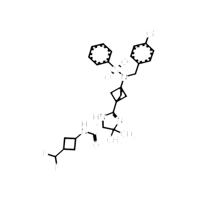 CC1(C)N=C(C23CC(N(Cc4ccc(Cl)cc4)S(=O)(=O)c4ccccc4)(C2)C3)N[C@H]1C(=O)NC1CC(C(F)F)C1